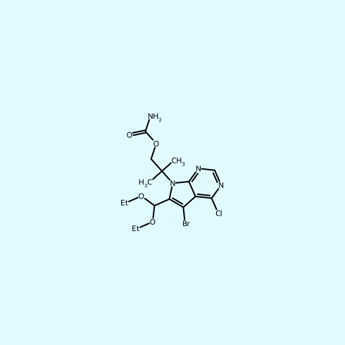 CCOC(OCC)c1c(Br)c2c(Cl)ncnc2n1C(C)(C)COC(N)=O